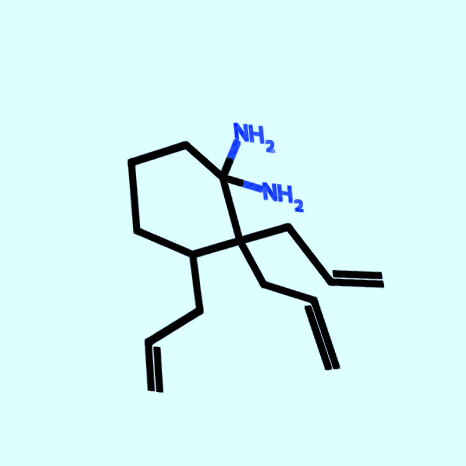 C=CCC1CCCC(N)(N)C1(CC=C)CC=C